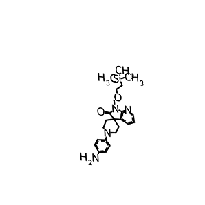 C[Si](C)(C)CCOCN1C(=O)C2(CCN(c3ccc(N)cc3)CC2)c2cccnc21